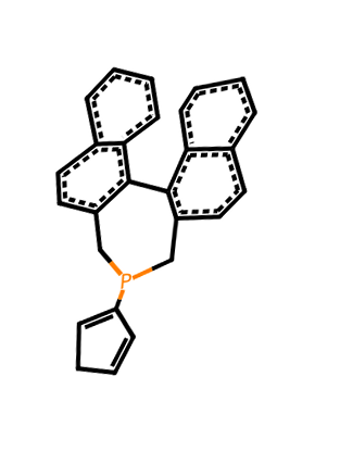 C1=CC(P2Cc3ccc4ccccc4c3-c3c(ccc4ccccc34)C2)=CC1